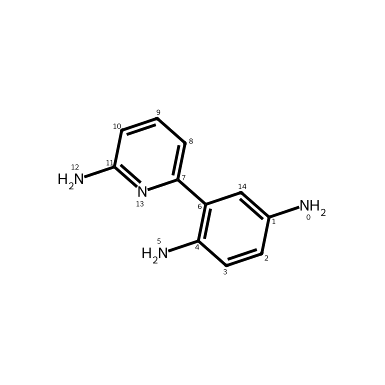 Nc1ccc(N)c(-c2cccc(N)n2)c1